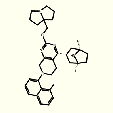 Clc1cccc2cccc(N3CCc4c(nc(OCC56CCCN5CCC6)nc4[C@@H]4C[C@H]5CC[C@@H](C4)N5)C3)c12